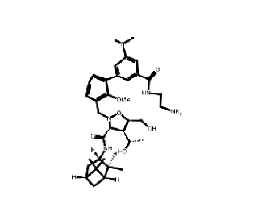 COc1c(CN2O[C@@H](CO)[C@@H]([C@H](C)O)[C@H]2C(=O)N[C@H]2C[C@H]3C[C@@H]([C@@H]2C)C3(C)C)cccc1-c1cc(C(=O)NCCN)cc(N(C)C)c1